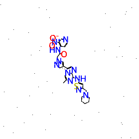 Cc1cn2c(-c3cnn(CC(=O)Nc4ccncc4[N+](=O)[O-])c3)cnc2c(Nc2cc(CN3CCCCC3)ns2)n1